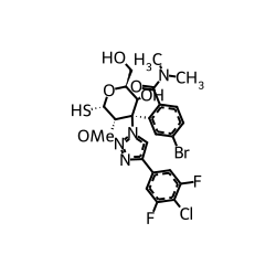 CO[C@@H]1[C@H](S)O[C@@H](CO)[C@@H](O)[C@@]1(c1cc(Br)ccc1C(=O)N(C)C)n1cc(-c2cc(F)c(Cl)c(F)c2)nn1